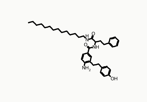 CCCCCCCCCCCCCCNC(=O)C(CCc1ccccc1)NC(=O)c1ccc(N)c(CCc2ccc(O)cc2)c1